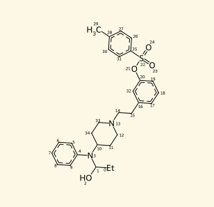 CCC(O)N(c1ccccc1)C1CCN(CCc2cccc(OS(=O)(=O)c3ccc(C)cc3)c2)CC1